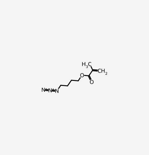 C=C(C)C(=O)OCCCCN=[N+]=[N-]